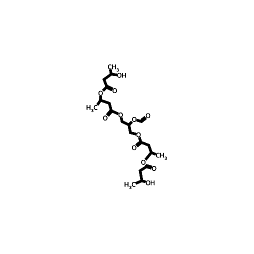 CC(O)CC(=O)OC(C)CC(=O)OCC(COC(=O)CC(C)OC(=O)CC(C)O)OC=O